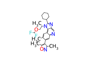 Cc1cc2c(cc1-c1c(C)noc1C)ncc1nc(C3CCCCC3)n([C@@H](C)COC(F)F)c12